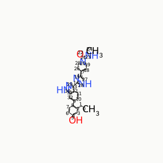 CCc1cc(O)ccc1-c1ccc2c(-c3nc(C4=CCN(C(=O)NC)CC4)c[nH]3)n[nH]c2c1